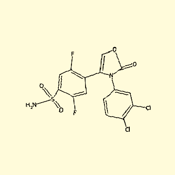 NS(=O)(=O)c1cc(F)c(-c2coc(=O)n2-c2ccc(Cl)c(Cl)c2)cc1F